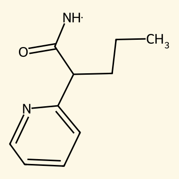 CCCC(C([NH])=O)c1ccccn1